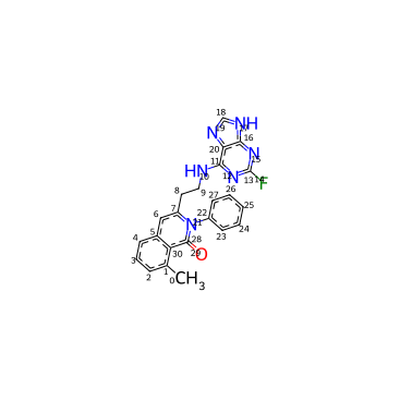 Cc1cccc2cc(CCNc3nc(F)nc4[nH]cnc34)n(-c3ccccc3)c(=O)c12